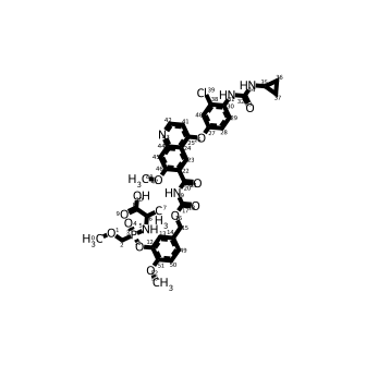 COCP(=O)(NC(C)C(=O)O)Oc1cc(COC(=O)NC(=O)c2cc3c(Oc4ccc(NC(=O)NC5CC5)c(Cl)c4)ccnc3cc2OC)ccc1OC